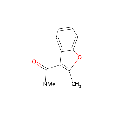 CNC(=O)c1c(C)oc2ccccc12